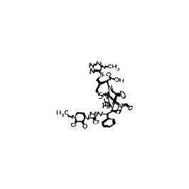 CCN1CCN(C(=O)NC(C(=O)N[C@]2(NC=O)C(=O)N3C(C(=O)O)=C(CSc4nnnn4C)CS[C@H]32)c2ccccc2)C(=O)C1=O